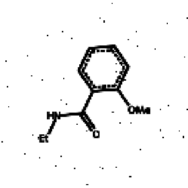 C[CH]NC(=O)c1ccccc1OC